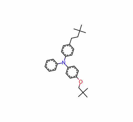 CC(C)(C)CCc1ccc(N(c2ccccc2)c2ccc(OCC(C)(C)C)cc2)cc1